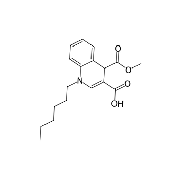 CCCCCCN1C=C(C(=O)O)C(C(=O)OC)c2ccccc21